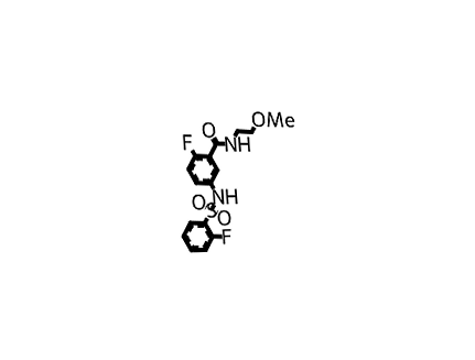 COCCNC(=O)c1cc(NS(=O)(=O)c2ccccc2F)ccc1F